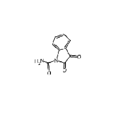 NC(=O)N1C(=O)C(=O)c2ccccc21